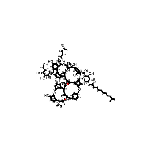 CC(C)CCCCCCCCC(=O)C[C@H]1[C@H](Oc2c3cc4cc2Oc2ccc(cc2Cl)[C@@H](O)[C@@H]2NC(=O)[C@H](CC(=O)[C@@H]4NC(=O)[C@H]4CC(=O)[C@@H](Cc5ccc(cc5)O3)NC(=O)[C@H](N(C)C)c3ccc(O)c(c3)Oc3cc(O)c(Cl)c4c3)c3ccc(O)c(c3)-c3c(O[C@H]4O[C@H](CO)[C@@H](O)[C@H](O)[C@@H]4O)cc(O)cc3[C@@H](C(=O)NCCCN(C)C)NC2=O)O[C@H](C(=O)O)[C@@H](O)[C@@H]1O